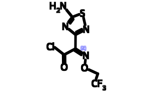 Nc1nc(/C(=N/OCC(F)(F)F)C(=O)Cl)ns1